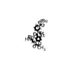 CCc1cc2c(cc1C(=O)N(CC)[C@@H]1CCCN(C(=O)OC(C)(C)C)C1)N(CCNC=O)C(=O)[C@@H](C)O2